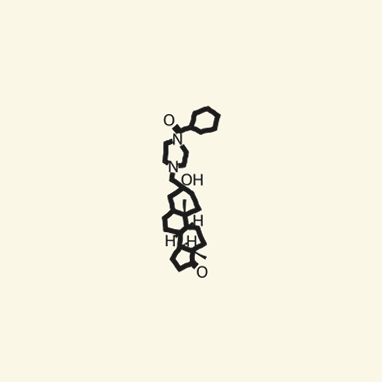 C[C@]12CCC(O)(CN3CCN(C(=O)C4CCCCC4)CC3)CC1CC[C@@H]1[C@H]2CC[C@]2(C)C(=O)CC[C@@H]12